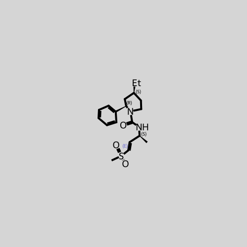 CC[C@H]1CCN(C(=O)N[C@@H](C)/C=C/S(C)(=O)=O)[C@@H](c2ccccc2)C1